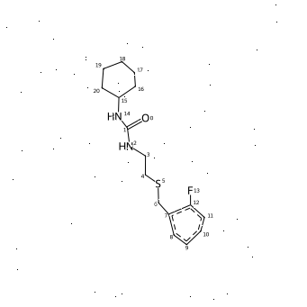 O=C(NCCSCc1ccccc1F)NC1CCCCC1